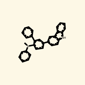 CN(c1ccccc1)c1ccc(-c2ccc3[nH]c4ccccc4c3c2)cc1-c1ccccc1